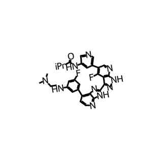 CC(C)C(=O)Nc1cncc(-c2cnc3[nH]nc(-c4nc5c(-c6cc(F)cc(NCCN(C)C)c6)ccnc5[nH]4)c3c2F)c1